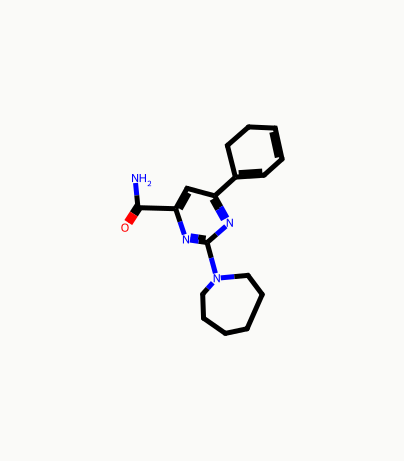 NC(=O)c1cc(C2=CC=CCC2)nc(N2CCCCCC2)n1